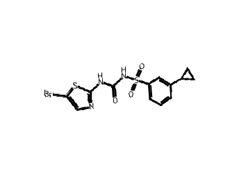 O=C(Nc1ncc(Br)s1)NS(=O)(=O)c1cccc(C2CC2)c1